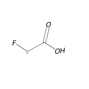 O=C(O)[C]F